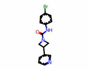 O=C(Nc1ccc(Br)cc1)N1CC(c2cccnc2)C1